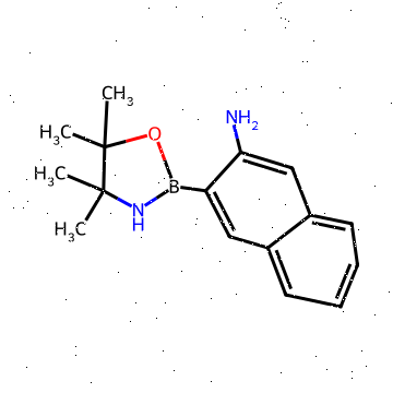 CC1(C)NB(c2cc3ccccc3cc2N)OC1(C)C